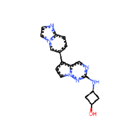 O[C@H]1C[C@@H](Nc2ncc3c(-c4ccc5nccn5c4)ccn3n2)C1